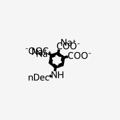 CCCCCCCCCCNc1cc(C(=O)[O-])c(C(=O)[O-])c(C(=O)[O-])c1.[Na+].[Na+].[Na+]